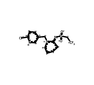 O=S(=O)(CC(F)(F)F)N=c1ccccn1Cc1ccc(Cl)nc1